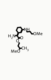 COCCCNC1=C/C(=C(/N)C(=O)OCCC(C)OC)CCC1